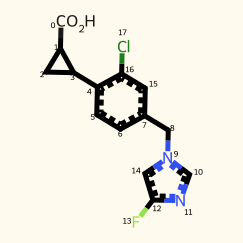 O=C(O)C1CC1c1ccc(Cn2cnc(F)c2)cc1Cl